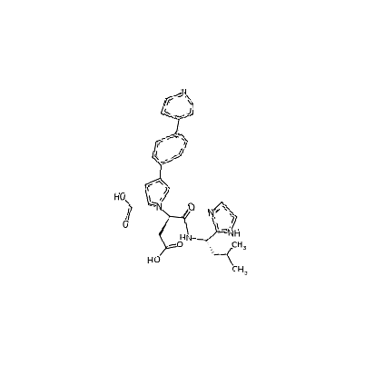 CC(C)C[C@H](NC(=O)[C@@H](CC(=O)O)n1ccc(-c2ccc(-c3ccncc3)cc2)c1)c1ncc[nH]1.O=CO